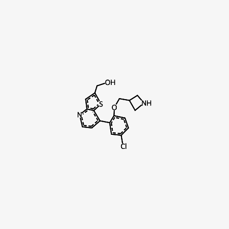 OCc1cc2nccc(-c3cc(Cl)ccc3OCC3CNC3)c2s1